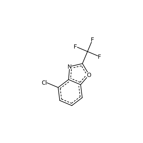 FC(F)(F)c1nc2c(Cl)cccc2o1